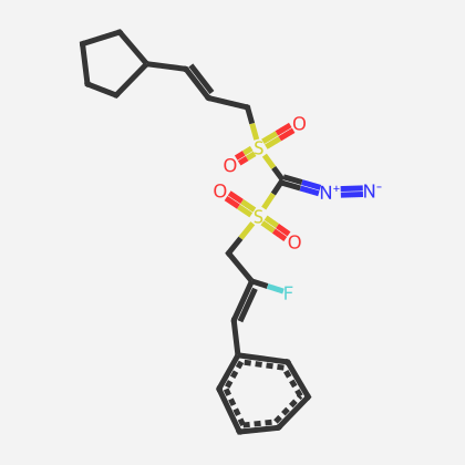 [N-]=[N+]=C(S(=O)(=O)CC=CC1CCCC1)S(=O)(=O)CC(F)=Cc1ccccc1